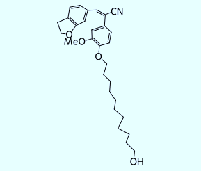 COc1cc(C(C#N)=Cc2ccc3c(c2)OCC3)ccc1OCCCCCCCCCCCO